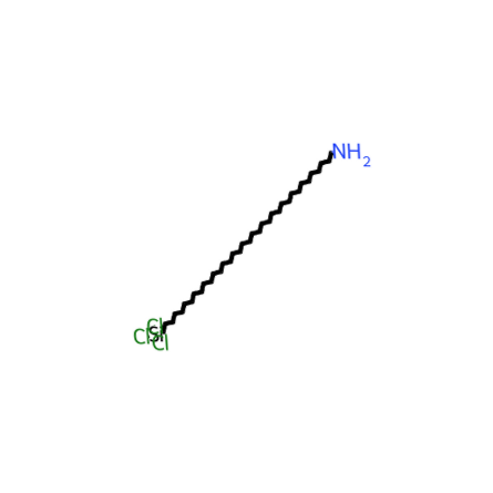 NCCCCCCCCCCCCCCCCCCCCCCCCCCCCCCCCCCCC[Si](Cl)(Cl)Cl